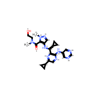 CN(CCO)C(=O)c1c(NC(=C2CC2)c2nc(C3CC3)cnc2Nc2cncnc2)cnn1C